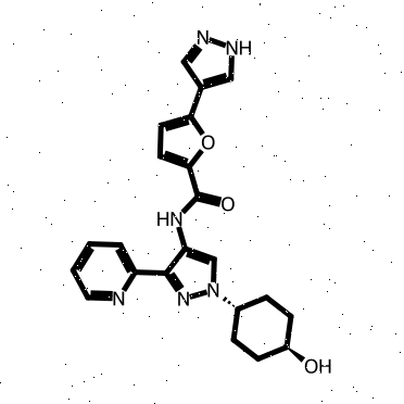 O=C(Nc1cn([C@H]2CC[C@H](O)CC2)nc1-c1ccccn1)c1ccc(-c2cn[nH]c2)o1